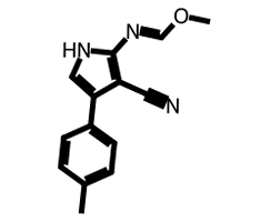 COC=Nc1[nH]cc(-c2ccc(C)cc2)c1C#N